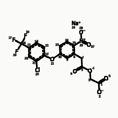 O=C([O-])COC(=O)Cc1cc(Oc2ccc(C(F)(F)F)cc2Cl)ccc1[N+](=O)[O-].[Na+]